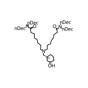 CCCCCCCCCCN(CCCCCCCCCC)C(=O)CCCCCCCN(CCCCCCCC(=O)N(CCCCCCCCCC)CCCCCCCCCC)C[C@H]1CCC[C@H](O)C1